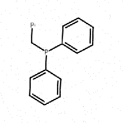 [P]CP(c1ccccc1)c1ccccc1